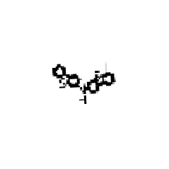 Ic1cccc2c1sc1cc(Nc3ccc4c(c3)sc3ccccc34)ccc12